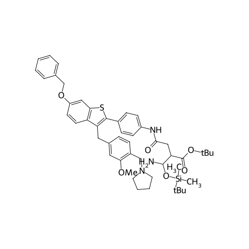 COc1cc(Cc2c(-c3ccc(NC(=O)CC(C(=O)OC(C)(C)C)C(N)O[Si](C)(C)C(C)(C)C)cc3)sc3cc(OCc4ccccc4)ccc23)ccc1CN1CCCC1